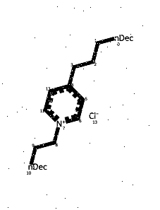 CCCCCCCCCCCCCc1cc[n+](CCCCCCCCCCCC)cc1.[Cl-]